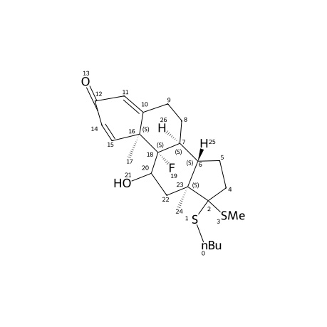 CCCCSC1(SC)CC[C@H]2[C@@H]3CCC4=CC(=O)C=C[C@]4(C)[C@]3(F)C(O)C[C@@]21C